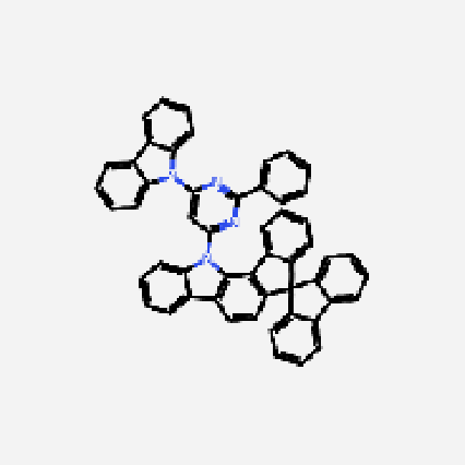 c1ccc(-c2nc(-n3c4ccccc4c4ccccc43)cc(-n3c4ccccc4c4ccc5c(c43)-c3ccccc3C53c4ccccc4-c4ccccc43)n2)cc1